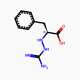 N=C(N)NN[C@@H](Cc1ccccc1)C(=O)O